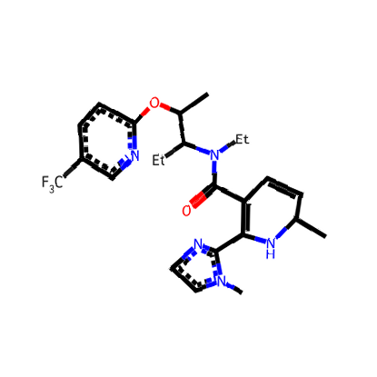 CCC(C(C)Oc1ccc(C(F)(F)F)cn1)N(CC)C(=O)C1=C(c2nccn2C)NC(C)C=C1